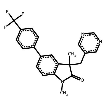 CN1C(=O)C(C)(Cc2cncnc2)c2cc(-c3ccc(C(F)(F)F)cc3)ccc21